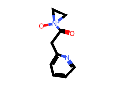 O=C(Cc1ccccn1)[N+]1([O-])CC1